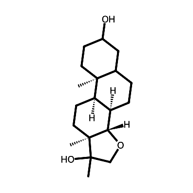 CC1(O)CO[C@H]2[C@@H]3CCC4CC(O)CC[C@]4(C)[C@@H]3CC[C@@]21C